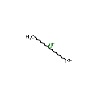 CCCCCCCCCCCCCCC[CH2][Ir+2].[Cl-].[Cl-]